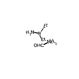 CCN(N)CC.NC=O